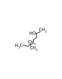 CCCC(C)(C)CCCC(O)CC